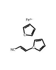 N#CC=C[c-]1cccc1.[Fe+2].c1cc[cH-]c1